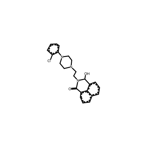 O=C1c2cccc3cccc(c23)C(O)N1CCN1CCN(c2ccccc2Cl)CC1